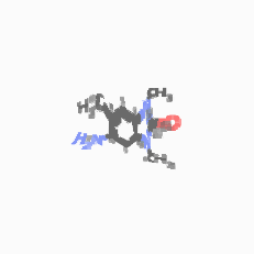 Cc1cc2c(cc1N)n(C)c(=O)n2C